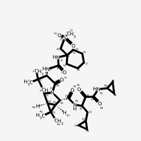 CC(C)(C)[C@H](NC(=O)NC1(CS(C)(=O)=O)CCCCC1)C(=O)N1C[C@H]2[C@@H]([C@H]1C(=O)NC(CC1CC1)C(=O)C(=O)NC1CC1)C2(C)C